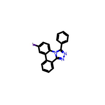 Ic1ccc2c(c1)c1ccccc1c1nnc(-c3ccccc3)n21